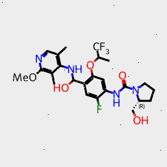 COc1ncc(C)c(NC(O)c2cc(F)c(NC(=O)N3CCC[C@@H]3CO)cc2OC(C)C(F)(F)F)c1C